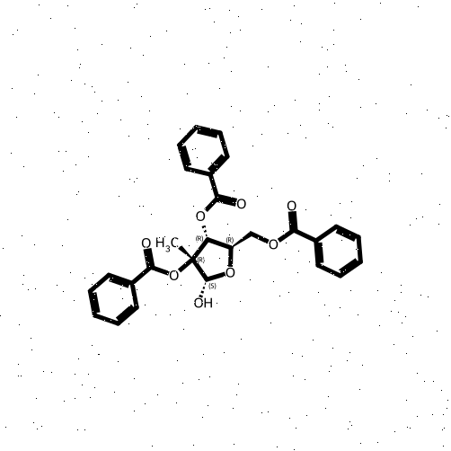 C[C@@]1(OC(=O)c2ccccc2)[C@H](OC(=O)c2ccccc2)[C@@H](COC(=O)c2ccccc2)O[C@@H]1O